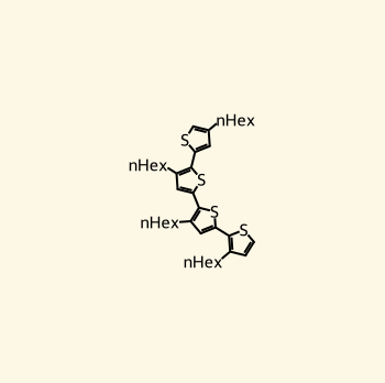 CCCCCCc1csc(-c2sc(-c3sc(-c4sccc4CCCCCC)cc3CCCCCC)cc2CCCCCC)c1